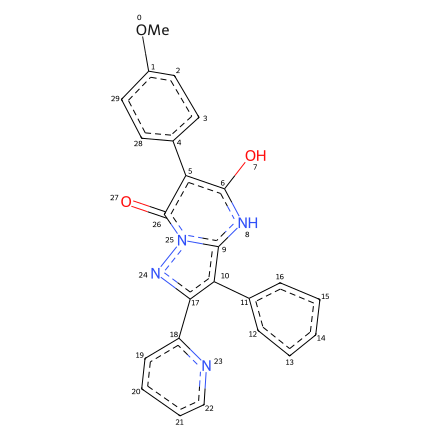 COc1ccc(-c2c(O)[nH]c3c(-c4ccccc4)c(-c4ccccn4)nn3c2=O)cc1